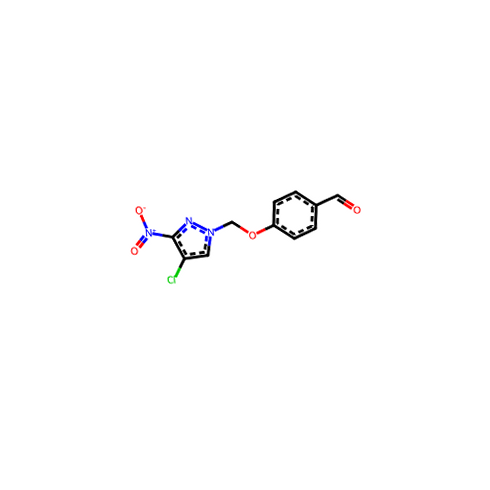 O=Cc1ccc(OCn2cc(Cl)c([N+](=O)[O-])n2)cc1